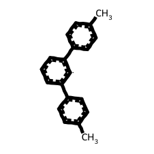 Cc1ccc(-c2[c]c(-c3ccc(C)cc3)ccc2)cc1